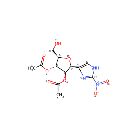 CC(=O)O[C@H]1[C@H](OC(C)=O)[C@H](c2c[nH]c([N+](=O)[O-])n2)O[C@@H]1CO